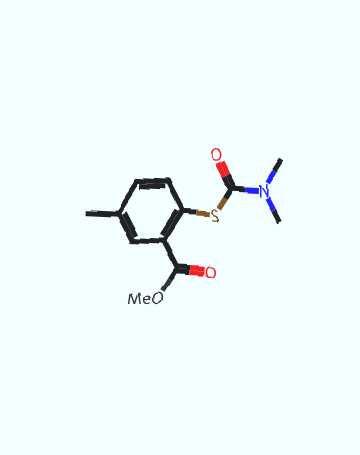 COC(=O)c1cc(C)ccc1SC(=O)N(C)C